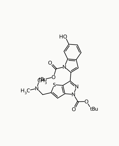 CN(C)Cc1cc2c(s1)c(-c1cc3ccc(O)cc3n1C(=O)OC(C)(C)C)nn2C(=O)OC(C)(C)C